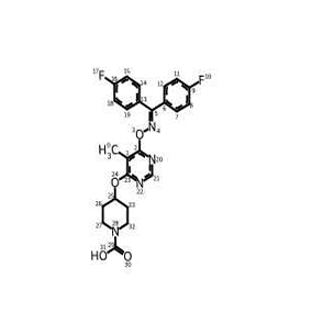 Cc1c(ON=C(c2ccc(F)cc2)c2ccc(F)cc2)ncnc1OC1CCN(C(=O)O)CC1